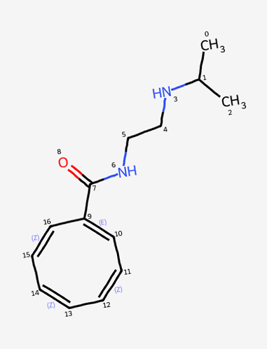 CC(C)NCCNC(=O)C1=C/C=C\C=C/C=C\1